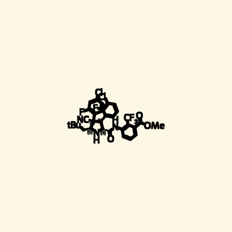 COC(=O)c1cccc(NC(=O)[C@@H]2N[C@@H](CC(C)(C)C)[C@](C#N)(c3ccc(Cl)cc3F)[C@H]2c2cccc(Cl)c2F)c1C(F)(F)F